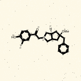 CO[C@@]1(Cc2ccccc2)CC2CN(CC(=O)c3ccc(O)c(F)c3)C[C@H]2C1